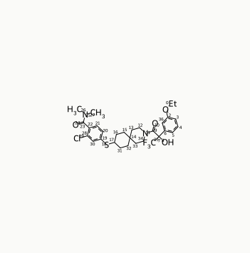 CCOc1cccc(C(O)(C(=O)N2CCC3(CCC(Sc4ccc(C(=O)N(C)C)c(Cl)c4)CC3)CC2)C(F)(F)F)c1